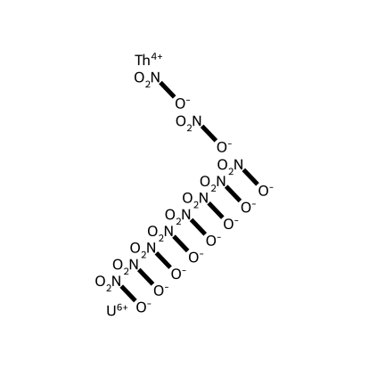 O=[N+]([O-])[O-].O=[N+]([O-])[O-].O=[N+]([O-])[O-].O=[N+]([O-])[O-].O=[N+]([O-])[O-].O=[N+]([O-])[O-].O=[N+]([O-])[O-].O=[N+]([O-])[O-].O=[N+]([O-])[O-].O=[N+]([O-])[O-].[Th+4].[U+6]